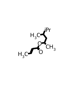 CC=CC(=O)OC(C)CC(C)C(C)C